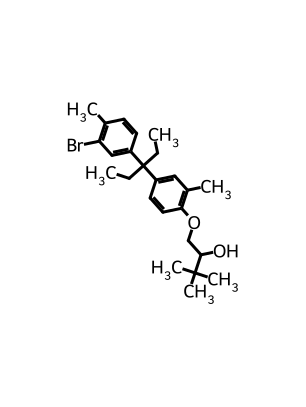 CCC(CC)(c1ccc(OCC(O)C(C)(C)C)c(C)c1)c1ccc(C)c(Br)c1